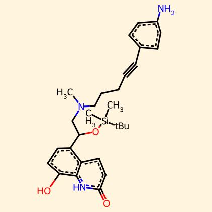 CN(CCCC#Cc1ccc(N)cc1)CC(O[Si](C)(C)C(C)(C)C)c1ccc(O)c2[nH]c(=O)ccc12